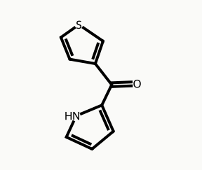 O=C(c1ccsc1)c1ccc[nH]1